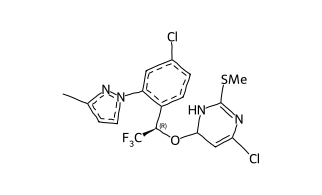 CSC1=NC(Cl)=CC(O[C@H](c2ccc(Cl)cc2-n2ccc(C)n2)C(F)(F)F)N1